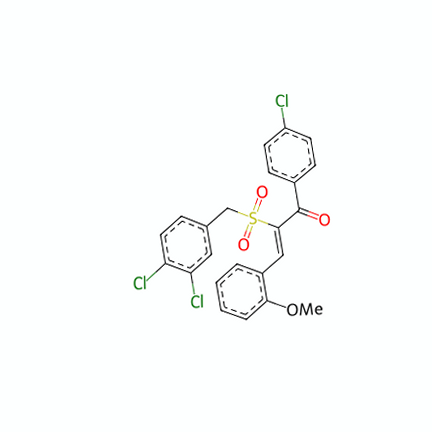 COc1ccccc1C=C(C(=O)c1ccc(Cl)cc1)S(=O)(=O)Cc1ccc(Cl)c(Cl)c1